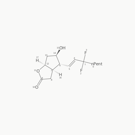 CCCCCC(F)(F)/C=C/[C@@H]1[C@H]2CC(=O)O[C@H]2C[C@H]1O